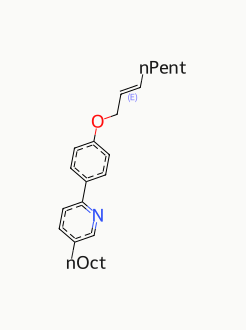 CCCCC/C=C/COc1ccc(-c2ccc(CCCCCCCC)cn2)cc1